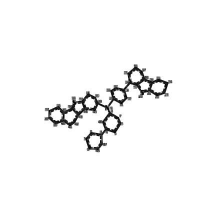 c1ccc(-c2cccc(N(c3ccc(-c4cccc5c4sc4ccccc45)cc3)c3ccc4sc5c6ccccc6ccc5c4c3)c2)cc1